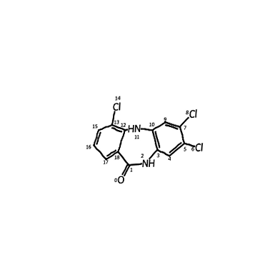 O=C1Nc2cc(Cl)c(Cl)cc2Nc2c(Cl)cccc21